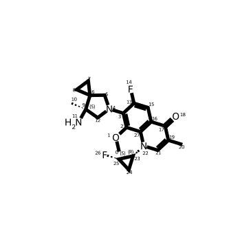 COc1c(N2CC3(CC3)[C@](C)(N)C2)c(F)cc2c(=O)c(C)cn([C@@H]3C[C@@H]3F)c12